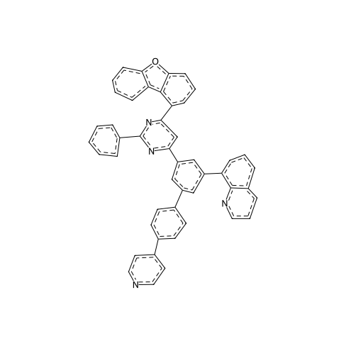 c1ccc(-c2nc(-c3cc(-c4ccc(-c5ccncc5)cc4)cc(-c4cccc5cccnc45)c3)cc(-c3cccc4oc5ccccc5c34)n2)cc1